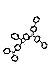 c1ccc(-c2ccc(N(c3ccc(-c4ccccc4)cc3)c3ccc4c(-c5ccccc5)c(-c5ccc(N(c6ccccc6)c6ccccc6)cc5)sc4c3)cc2)cc1